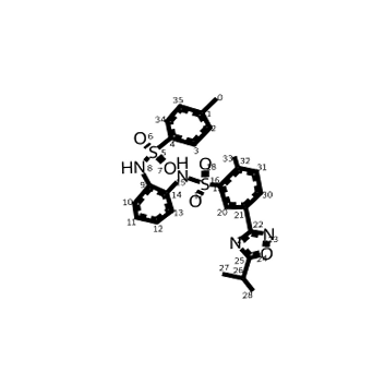 Cc1ccc(S(=O)(=O)Nc2ccccc2NS(=O)(=O)c2cc(-c3noc(C(C)C)n3)ccc2C)cc1